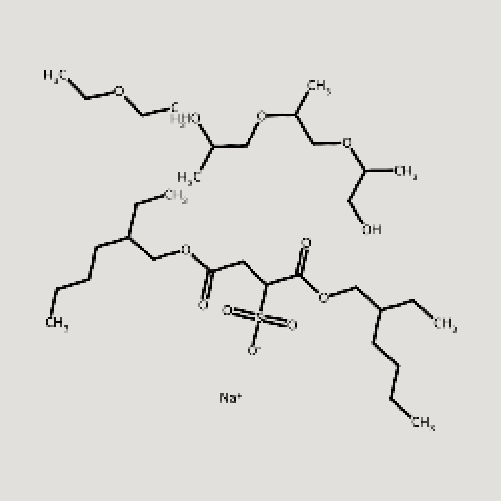 CC(O)COC(C)COC(C)CO.CCCCC(CC)COC(=O)CC(C(=O)OCC(CC)CCCC)S(=O)(=O)[O-].CCOCC.[Na+]